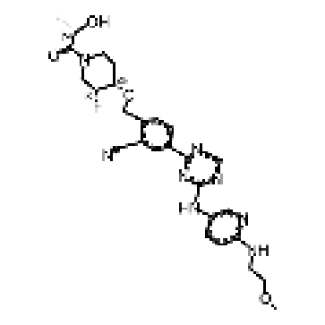 COCCNc1ccc(Nc2ncnc(-c3ccc(CO[C@H]4CCN(C(=O)[C@H](C)O)C[C@H]4F)c(C#N)c3)n2)cn1